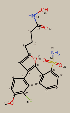 COc1ccc(-c2cc(CCCC(=O)NO)oc2-c2ccccc2S(N)(=O)=O)cc1F